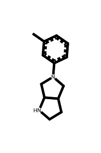 Cc1cccc(N2CC3CCNC3C2)c1